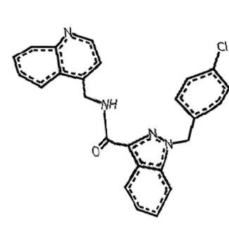 O=C(NCc1ccnc2ccccc12)c1nn(Cc2ccc(Cl)cc2)c2ccccc12